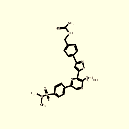 CN(C)S(=O)(=O)c1ccc(-c2cnc(N)c(-c3cc(-c4ccc(CNC(=N)N)cc4)no3)n2)cc1.Cl.Cl